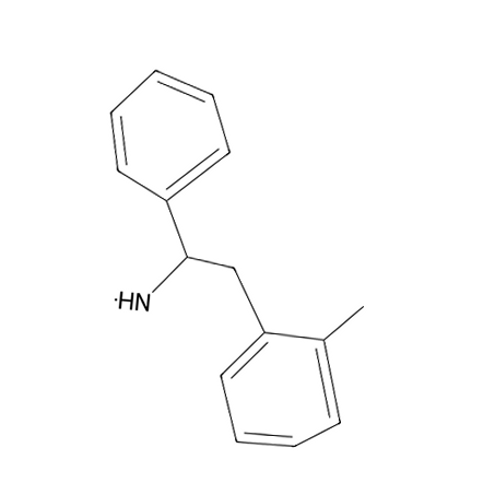 Cc1ccccc1CC([NH])c1ccccc1